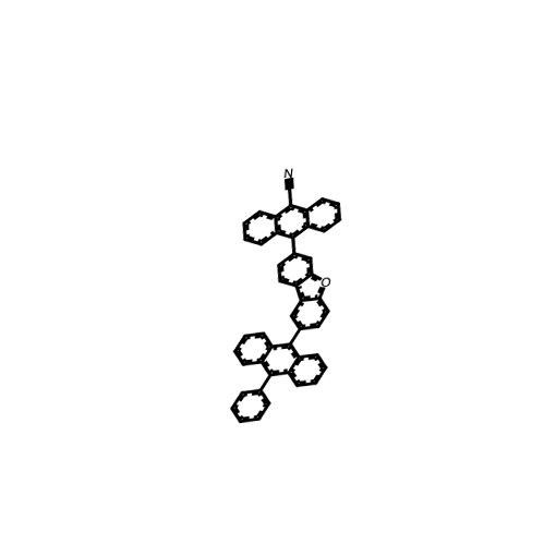 N#Cc1c2ccccc2c(-c2ccc3c(c2)oc2ccc(-c4c5ccccc5c(-c5ccccc5)c5ccccc45)cc23)c2ccccc12